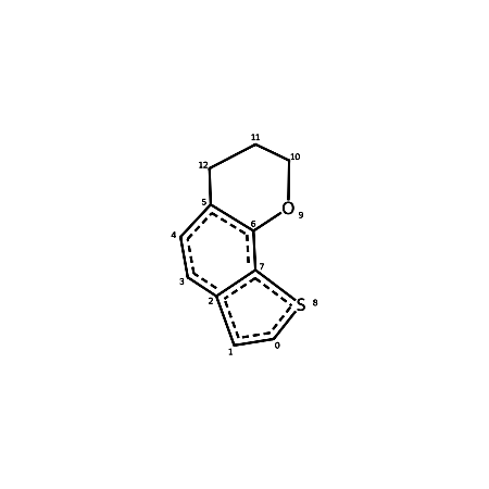 c1cc2ccc3c(c2s1)OCCC3